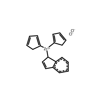 C1=CC[C]([Zr+2]([C]2=CC=CC2)[CH]2C=Cc3ccccc32)=C1.[Cl-].[Cl-]